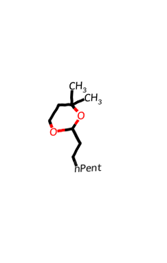 CCCCCCCC1OCCC(C)(C)O1